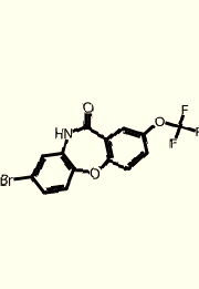 O=C1Nc2cc(Br)ccc2Oc2ccc(OC(F)(F)F)cc21